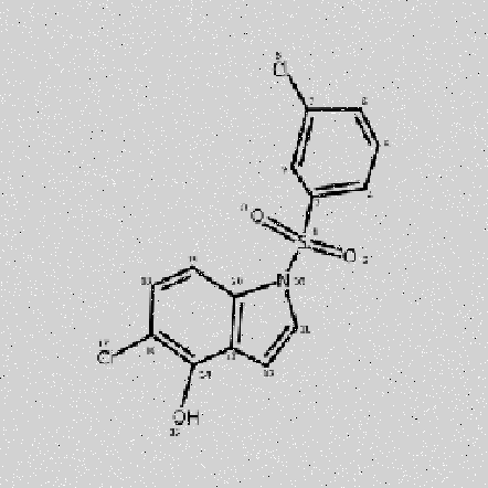 O=S(=O)(c1cccc(Cl)c1)n1ccc2c(O)c(Cl)ccc21